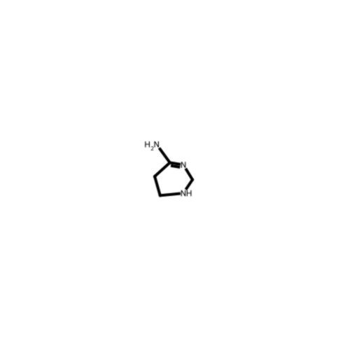 NC1=NCNCC1